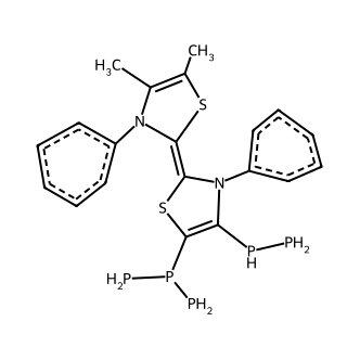 CC1=C(C)N(c2ccccc2)/C(=C2\SC(P(P)P)=C(PP)N2c2ccccc2)S1